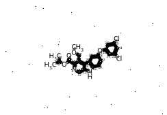 COCc1c(C(=O)OC(C)C)ncc2[nH]c3ccc(Oc4cc(Cl)cc(Cl)c4)cc3c12